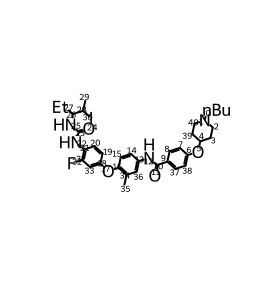 CCCCN1CCC(Oc2ccc(C(=O)Nc3ccc(Oc4ccc(NC(=O)NC(CC)C(C)I)c(F)c4)c(C)c3)cc2)CC1